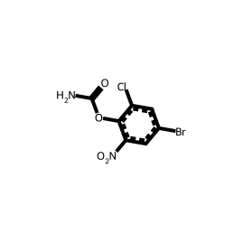 NC(=O)Oc1c(Cl)cc(Br)cc1[N+](=O)[O-]